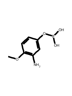 COc1ccc(OB(O)O)cc1N